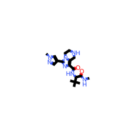 CNC(=O)C(NC(=O)c1nc(-c2cnn(C)c2)n2c1CNCC2)C(C)(C)C